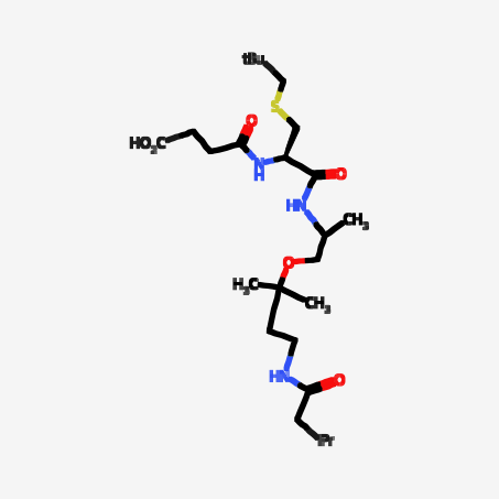 CC(C)CC(=O)NCCC(C)(C)OCC(C)NC(=O)[C@H](CSCC(C)(C)C)NC(=O)CCC(=O)O